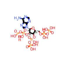 Nc1ncnc2c1ncn2[C@@H]1O[C@H](COP(=O)(O)OP(=O)(O)O)[C@@H](OP(=O)(O)OP(=O)(O)O)[C@H]1OP(=O)(O)OP(=O)(O)O